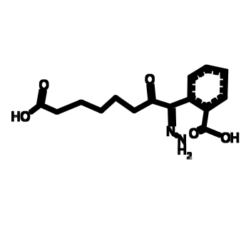 N/N=C(/C(=O)CCCCCC(=O)O)c1ccccc1C(=O)O